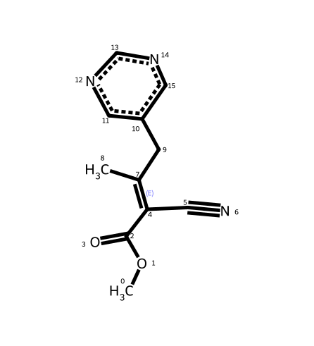 COC(=O)/C(C#N)=C(\C)Cc1cncnc1